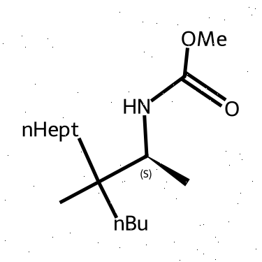 CCCCCCCC(C)(CCCC)[C@H](C)NC(=O)OC